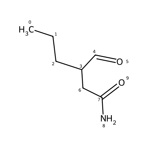 CCCC(C=O)CC(N)=O